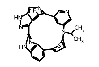 CC(C)n1c2cncc(c2)c2ncc3[nH]nc(c4nc5c(cccc5c5ccc1s5)[nH]4)c3c2F